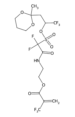 C=C(C(=O)OCCNC(=O)C(F)(F)S(=O)(=O)OC(CC1(C)OCCCO1)C(F)(F)F)C(F)(F)F